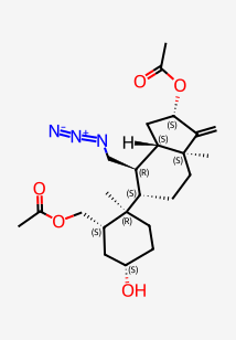 C=C1[C@@H](OC(C)=O)C[C@H]2[C@H](CN=[N+]=[N-])[C@@H]([C@@]3(C)CC[C@H](O)C[C@@H]3COC(C)=O)CC[C@]12C